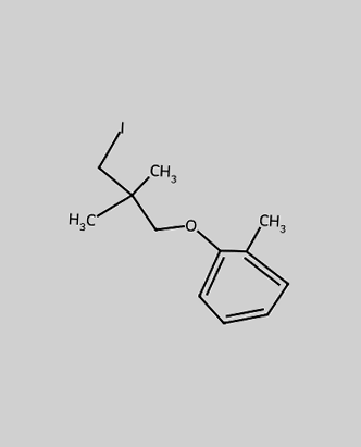 Cc1ccccc1OCC(C)(C)CI